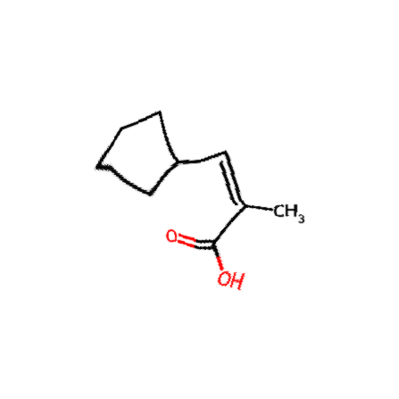 CC(=CC1CCCC1)C(=O)O